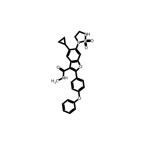 CNC(=O)c1c(-c2ccc(Oc3ccccc3)cc2)oc2cc(N3CCNS3(=O)=O)c(C3CC3)cc12